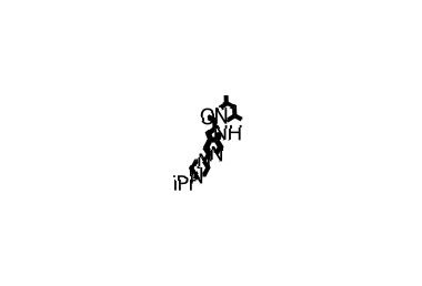 CC1CC(C)CN(C(=O)c2cc3cc(N4CCN(C(C)C)CC4)ncc3[nH]2)C1